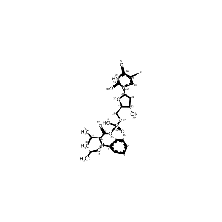 CCON(c1ccccc1)[C@H](C(=O)OP(=O)(O)OC[C@H]1O[C@@H](n2cc(F)c(=O)[nH]c2=O)C[C@@H]1O)C(C)C